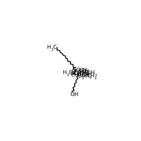 CCCCCCCCCCCCCCCC[Si](C)(O[Si](C)(C)C)O[Si](C)(CCCCCCCCCCCO)O[Si](C)(C)O[Si](C)(C)C